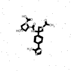 CC(=O)N1CC(NC(=O)[C@H]2C[C@@H](O)CN2C(=O)O)(c2ccc(-c3scnc3C)cc2)C1